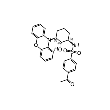 CC(=O)c1ccc(S(=O)(=O)N[C@@H]2CCC[C@H](N3c4ccccc4Oc4ccccc43)[C@H]2O)cc1